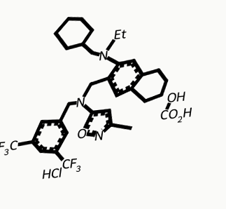 CCN(CC1CCCCC1)c1cc2c(cc1CN(Cc1cc(C(F)(F)F)cc(C(F)(F)F)c1)c1cc(C)no1)CCCC2.Cl.O=C(O)O